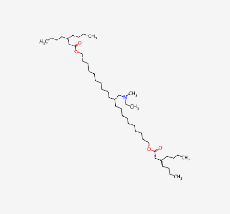 CCCCC(CCCC)CC(=O)OCCCCCCCCCCC(CCCCCCCCCCOC(=O)CC(CCCC)CCCC)CN(C)CC